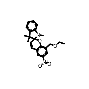 CCOCc1cc([N+](=O)[O-])cc2c1OC1(C=C2)N(C)c2ccccc2C1(C)C